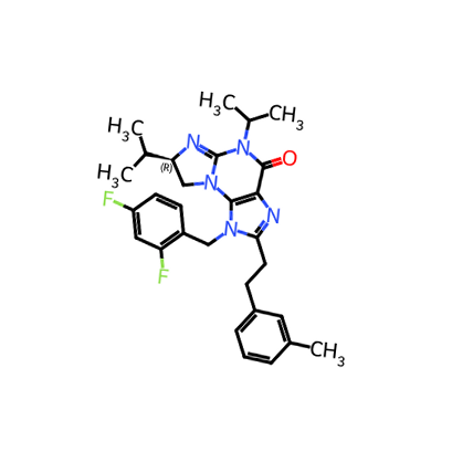 Cc1cccc(CCc2nc3c(n2Cc2ccc(F)cc2F)N2C[C@@H](C(C)C)N=C2N(C(C)C)C3=O)c1